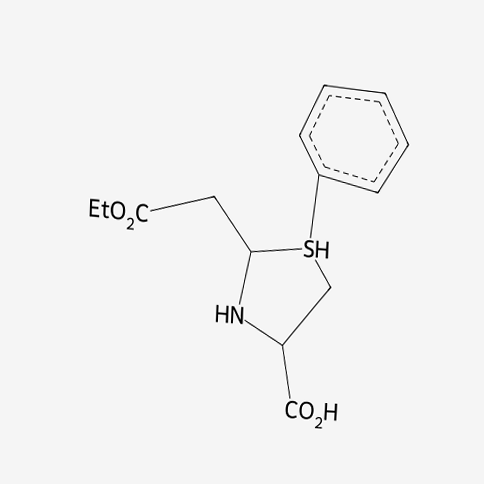 CCOC(=O)CC1NC(C(=O)O)C[SH]1c1ccccc1